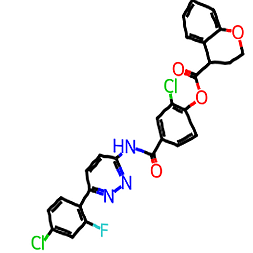 O=C(Nc1ccc(-c2ccc(Cl)cc2F)nn1)c1ccc(OC(=O)C2CCOc3ccccc32)c(Cl)c1